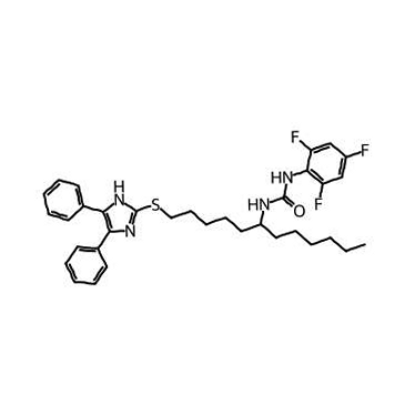 CCCCCCC(CCCCCSc1nc(-c2ccccc2)c(-c2ccccc2)[nH]1)NC(=O)Nc1c(F)cc(F)cc1F